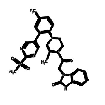 CC1CN(c2ccc(C(F)(F)F)cc2-c2cnc(S(C)(=O)=O)nc2)CCN1C(=O)Cn1c(=O)[nH]c2ccccc21